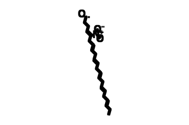 CC/C=C/C/C=C/C/C=C/C/C=C/C/C=C/C/C(=C/CC[C]=O)[N+](=O)[O-]